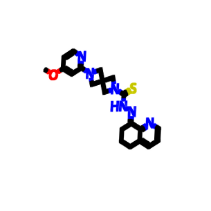 COc1ccnc(N2CC3(CN(C(=S)N/N=C4\CCCc5cccnc54)C3)C2)c1